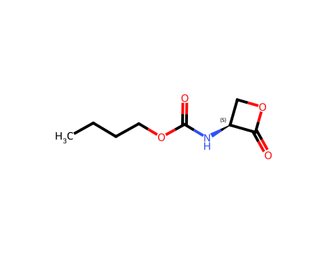 CCCCOC(=O)N[C@H]1COC1=O